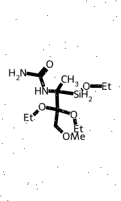 CCO[SiH2]C(C)(NC(N)=O)C(COC)(OCC)OCC